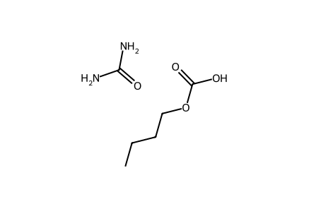 CCCCOC(=O)O.NC(N)=O